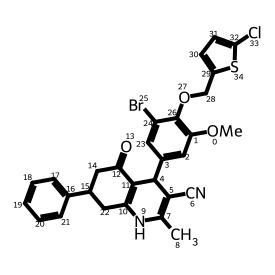 COc1cc(C2C(C#N)=C(C)NC3=C2C(=O)CC(c2ccccc2)C3)cc(Br)c1OCc1ccc(Cl)s1